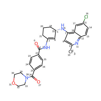 O=C(NC1=C[C@@H](Nc2cc(C(F)(F)F)nc3ccc(Cl)cc23)CCC1)c1ccc(C(=O)N2CCOCC2)cc1